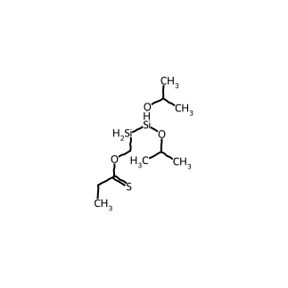 CCC(=S)OC[SiH2][SiH](OC(C)C)OC(C)C